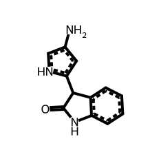 Nc1c[nH]c(C2C(=O)Nc3ccccc32)c1